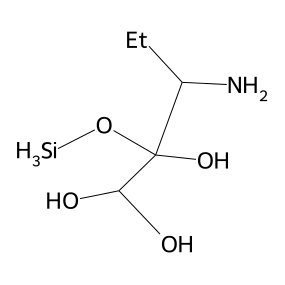 CCC(N)C(O)(O[SiH3])C(O)O